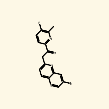 Cc1nc(C(=O)Cc2ccc3ncc(Br)cc3n2)ccc1F